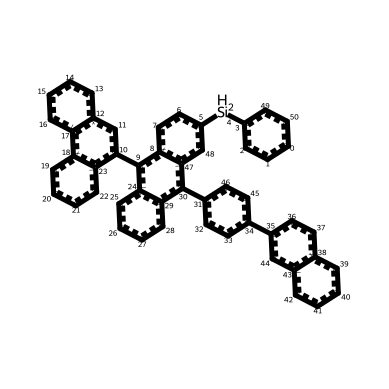 c1ccc([SiH2]c2ccc3c(-c4cc5ccccc5c5ccccc45)c4ccccc4c(-c4ccc(-c5ccc6ccccc6c5)cc4)c3c2)cc1